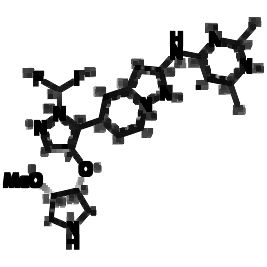 CO[C@H]1CNC[C@H]1Oc1cnn(C(F)F)c1-c1ccn2nc(Nc3cc(C)nc(C)n3)cc2c1